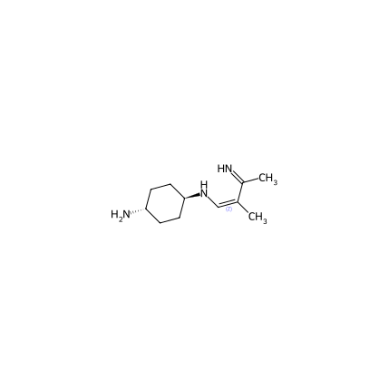 CC(=N)/C(C)=C\N[C@H]1CC[C@H](N)CC1